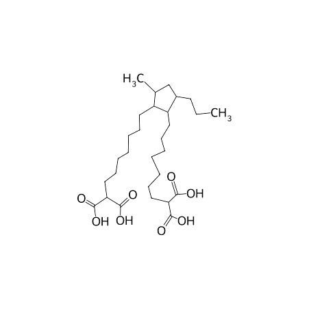 CCCC1CC(C)C(CCCCCCCC(C(=O)O)C(=O)O)C1CCCCCCCC(C(=O)O)C(=O)O